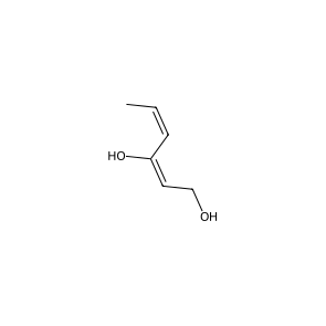 C/C=C\C(O)=C/CO